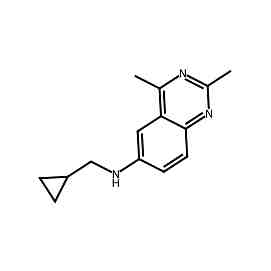 Cc1nc(C)c2cc(NCC3CC3)ccc2n1